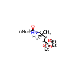 CCCCCC[CH]CCC(=O)NCC(C)(C)CC[Si](OCC)(OCC)OCC